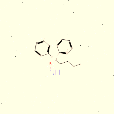 CCCC[Si](ON)(c1ccccc1)c1ccccc1